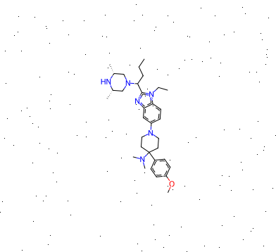 CCCC(c1nc2cc(N3CCC(c4ccc(OC)cc4)(N(C)C)CC3)ccc2n1CC)N1C[C@@H](C)N[C@@H](C)C1